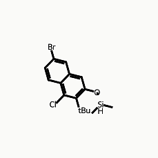 C[SiH](C)Oc1cc2cc(Br)ccc2c(Cl)c1C(C)(C)C